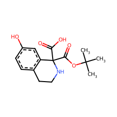 CC(C)(C)OC(=O)C1(C(=O)O)NCCc2ccc(O)cc21